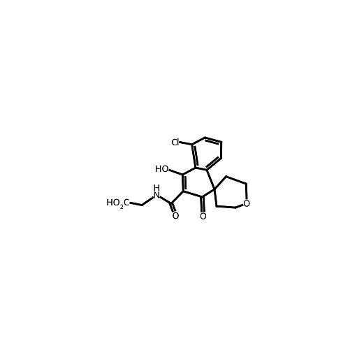 O=C(O)CNC(=O)C1=C(O)c2c(Cl)cccc2C2(CCOCC2)C1=O